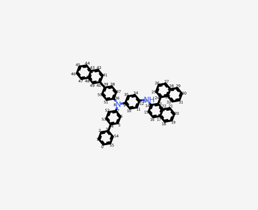 c1ccc(-c2ccc(N(c3ccc(Nc4ccc5ccccc5c4-c4cccc5ccccc45)cc3)c3ccc(-c4ccc5ccccc5c4)cc3)cc2)cc1